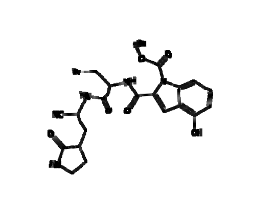 CC(C)CC(NC(=O)c1cc2c(O)cccc2n1C(=O)OC(C)(C)C)C(=O)NC(C#N)CC1CCNC1=O